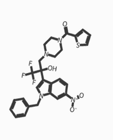 O=C(c1cccs1)N1CCN(CC(O)(c2cn(Cc3ccccc3)c3cc([N+](=O)[O-])ccc23)C(F)(F)F)CC1